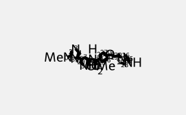 CNc1cncc(C(/C=C(\COC)NC(=O)c2ccc(OCCN3CCNCC3)cc2)=C/N)n1